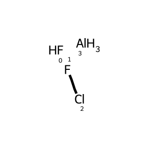 F.FCl.[AlH3]